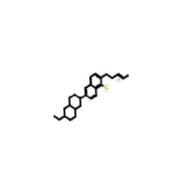 C/C=C/CCc1ccc2cc(C3CCC4CC(CC)CCC4C3)ccc2c1F